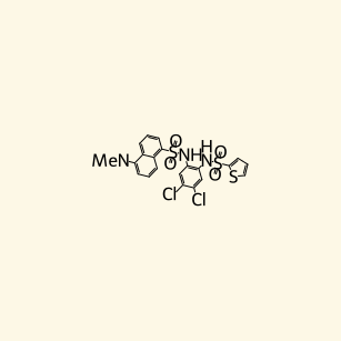 CNc1cccc2c(S(=O)(=O)Nc3cc(Cl)c(Cl)cc3NS(=O)(=O)c3cccs3)cccc12